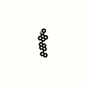 c1ccc2c(-c3ccc4ccc5c(-c6cc7cccc8c9c%10ccccc%10sc9c9cccc6c9c78)ccc6ccc3c4c65)cccc2c1